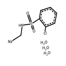 O.O.O.O=S(=O)(N[CH2][Na])c1ccccc1Cl